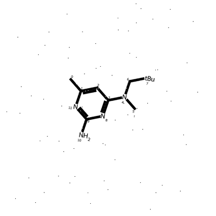 Cc1cc(N(C)CC(C)(C)C)nc(N)n1